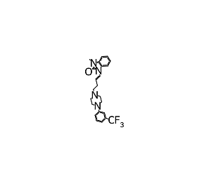 Cn1c(=O)n(C=CCCN2CCN(c3cccc(C(F)(F)F)c3)CC2)c2ccccc21